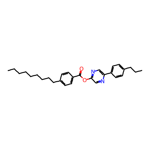 CCCCCCCCCc1ccc(C(=O)Oc2cnc(-c3ccc(CCC)cc3)cn2)cc1